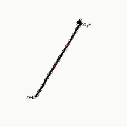 O=CCCOCCOCCOCCOCCOCCOCCOCCOCCOCCOCCOCCOCCOCCOCCOCCOCCOCCOCCOCCOCCOCCOCCOCCOCCOCC(ON1C(=O)CCC1=O)C(=O)O